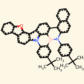 CC(C)(C)c1ccc(N2B3c4cc(C(C)(C)C)ccc4-n4c5ccc6c7ccccc7oc6c5c5ccc(c3c54)-c3c2ccc2ccccc32)cc1